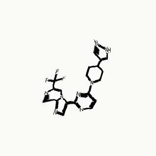 FC(F)(F)c1cn2c(-c3nccc(N4CCC(c5cn[nH]c5)CC4)n3)cnc2cn1